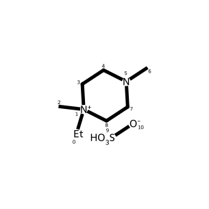 CC[N+]1(C)CCN(C)CC1.O=S(=O)([O-])O